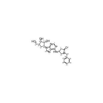 O=C1CC(Nc2ncnc3c2ncn3C2CC(CO)C(O)C2O)CN1Cc1ccccc1